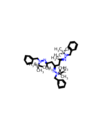 C/C(CC(C/C(C)=N/N(Cc1ccccc1)[Si](C)(C)C)=NN(Cc1ccccc1)[Si](C)(C)C)=N\N(Cc1ccccc1)[Si](C)(C)C